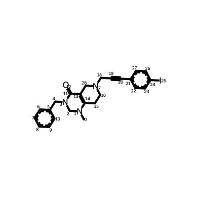 CN1CN(Cc2ccccc2)C(=O)C2=C1CCN(CC#Cc1ccc(I)cc1)C2